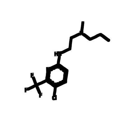 CCCN(C)CCNc1ccc(Cl)c(C(F)(F)F)n1